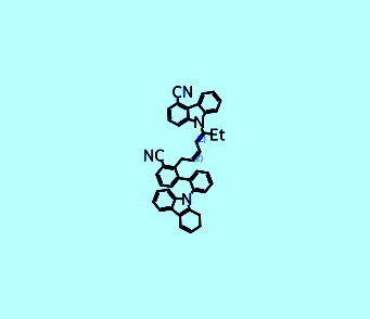 CC/C(=C\C=C/Cc1c(C#N)cccc1-c1ccccc1-n1c2c(c3ccccc31)C=CCC2)n1c2ccccc2c2c(C#N)cccc21